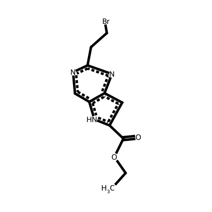 CCOC(=O)c1cc2nc(CCBr)ncc2[nH]1